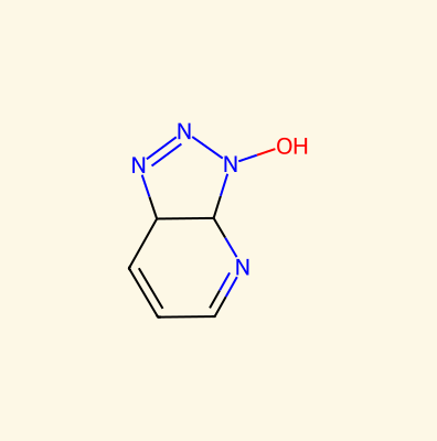 ON1N=NC2C=CC=NC21